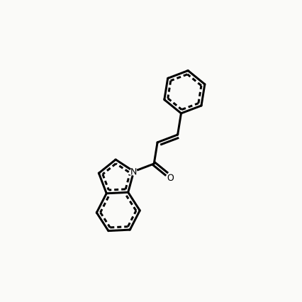 O=C(/C=C/c1ccccc1)n1ccc2ccccc21